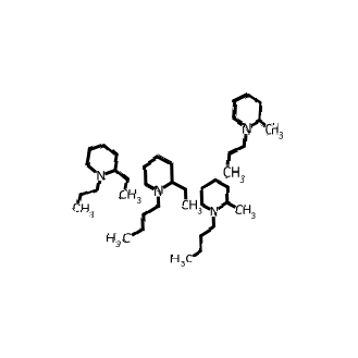 CCCCN1CCCCC1C.CCCCN1CCCCC1CC.CCCN1CCCCC1C.CCCN1CCCCC1CC